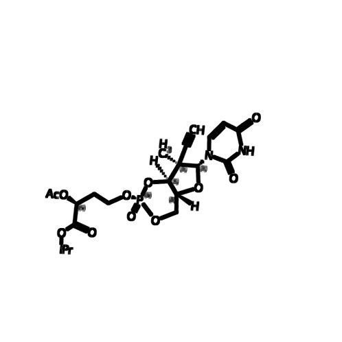 C#C[C@]1(C)[C@@H]2O[P@@](=O)(OCC[C@H](OC(C)=O)C(=O)OC(C)C)OC[C@H]2O[C@H]1n1ccc(=O)[nH]c1=O